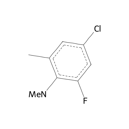 CNc1c(C)cc(Cl)cc1F